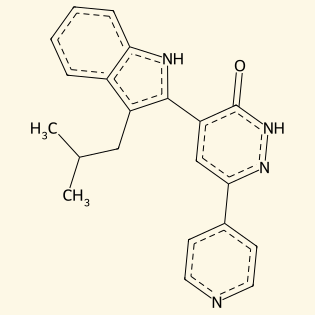 CC(C)Cc1c(-c2cc(-c3ccncc3)n[nH]c2=O)[nH]c2ccccc12